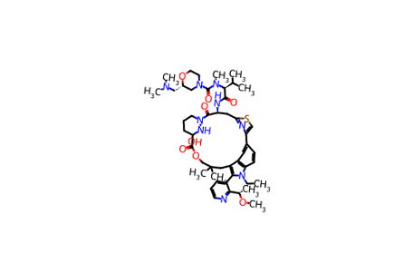 CCn1c(-c2cccnc2[C@H](C)OC)c2c3cc(ccc31)-c1csc(n1)C[C@H](NC(=O)[C@H](C(C)C)N(C)C(=O)N1CCO[C@@H](CN(C)C)C1)C(=O)N1CCC[C@@](O)(N1)C(=O)OCC(C)(C)C2